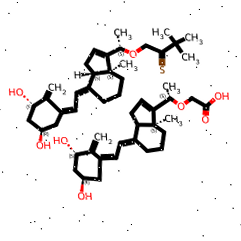 C=C1C(=CC=C2CCC[C@]3(C)C([C@H](C)OCC(=O)O)=CCC23)C[C@@H](O)C[C@@H]1O.C=C1C(=CC=C2CCC[C@]3(C)C([C@H](C)OCC(=S)C(C)(C)C)=CC[C@@H]23)C[C@@H](O)C[C@@H]1O